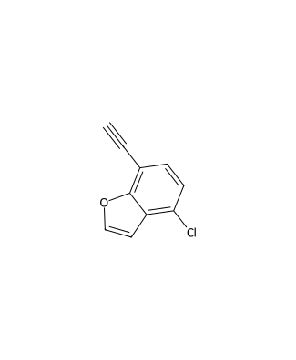 C#Cc1ccc(Cl)c2ccoc12